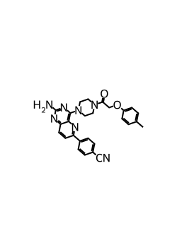 Cc1ccc(OCC(=O)N2CCN(c3nc(N)nc4ccc(-c5ccc(C#N)cc5)nc34)CC2)cc1